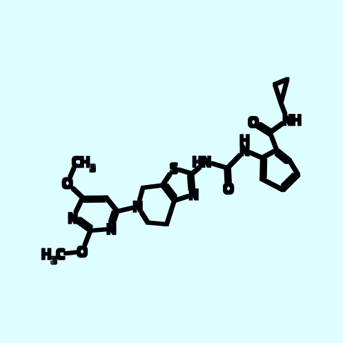 COc1cc(N2CCc3nc(NC(=O)Nc4ccccc4C(=O)NC4CC4)sc3C2)nc(OC)n1